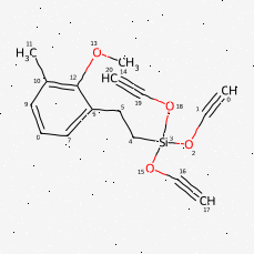 C#CO[Si](CCc1cccc(C)c1OC)(OC#C)OC#C